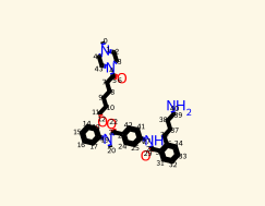 CN1CCN(C(=O)CCCCCOc2ccccc2N(C)C(=O)c2ccc(NC(=O)c3ccccc3CCCCN)cc2)CC1